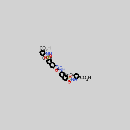 COc1ccc(C(=O)O)cc1NS(=O)(=O)c1ccc2ccc(NC(=O)Nc3ccc4ccc(S(=O)(=O)Nc5cc(C(=O)O)ccc5OC)cc4c3)cc2c1